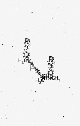 CC[n+]1ccc(/C=C/c2ccc(N(C)CCCNCCCSSCCC[N+](C)(C)CCCN(C)c3ccc(/C=C/c4cc[n+](CC)cc4)cc3)cc2)cc1